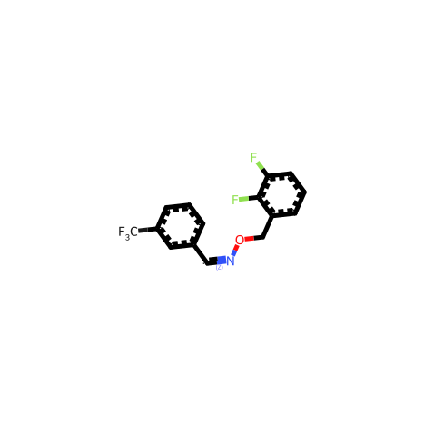 Fc1cccc(CO/N=[C]\c2cccc(C(F)(F)F)c2)c1F